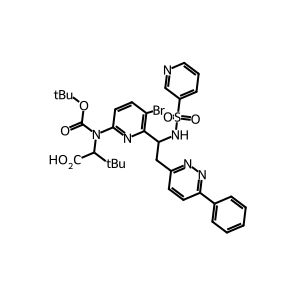 CC(C)(C)OC(=O)N(c1ccc(Br)c(C(Cc2ccc(-c3ccccc3)nn2)NS(=O)(=O)c2cccnc2)n1)C(C(=O)O)C(C)(C)C